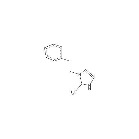 CC1NC=CN1CCc1ccccc1